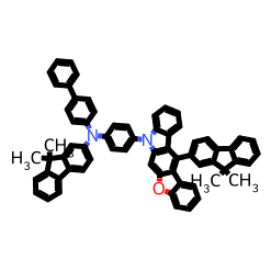 CC1(C)c2ccccc2-c2ccc(-c3c4c(cc5c3c3ccccc3n5-c3ccc(N(c5ccc(-c6ccccc6)cc5)c5ccc6c(c5)C(C)(C)c5ccccc5-6)cc3)oc3ccccc34)cc21